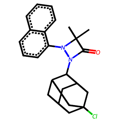 CC1(C)C(=O)N(C2C3CC4CC2CC(Cl)(C4)C3)N1c1cccc2ccccc12